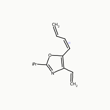 C=C/C=C\c1oc(C(C)C)nc1C=C